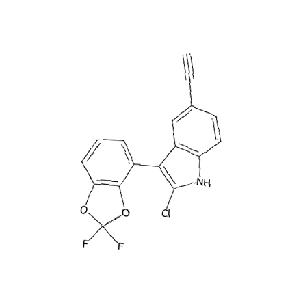 C#Cc1ccc2[nH]c(Cl)c(-c3cccc4c3OC(F)(F)O4)c2c1